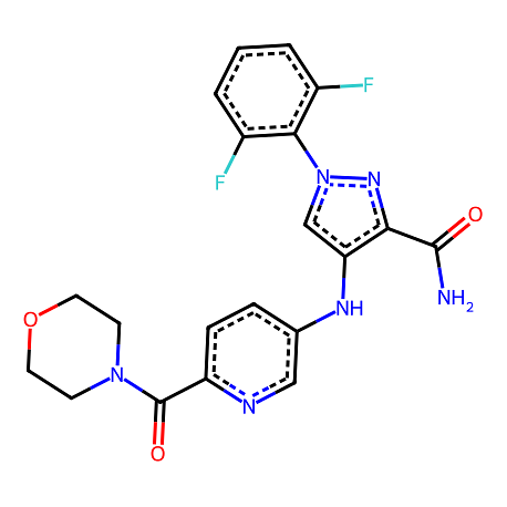 NC(=O)c1nn(-c2c(F)cccc2F)cc1Nc1ccc(C(=O)N2CCOCC2)nc1